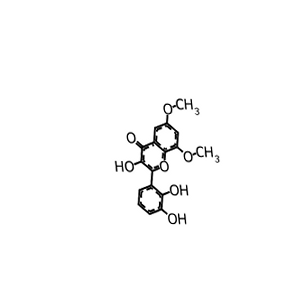 COc1cc(OC)c2oc(-c3cccc(O)c3O)c(O)c(=O)c2c1